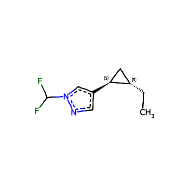 CC[C@H]1C[C@@H]1c1cnn(C(F)F)c1